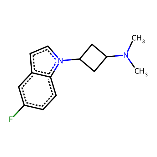 CN(C)C1CC(n2ccc3cc(F)ccc32)C1